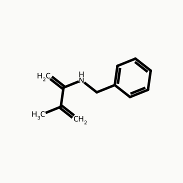 C=C(C)C(=C)NCc1ccccc1